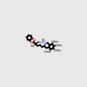 CCC(C)C(C#N)(CCCC1Cc2c(c(OC)c(OC)c(OC)c2OC)CN1C)C1Oc2ccccc2O1